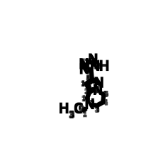 CCN1CCCn2nc(-c3nnn[nH]3)cc2C1